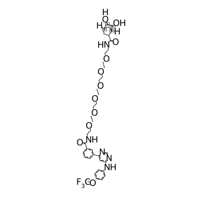 O=C(NCCOCCOCCOCCOCCOCCOCCNC(=O)C1C[C@@H]2C[C@H]1[C@@H](O)[C@H]2O)c1cccc(-c2cc(Nc3ccc(OC(F)(F)F)cc3)ncn2)c1